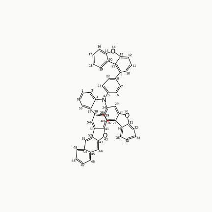 c1ccc(N(c2ccc(-c3cccc4oc5ccccc5c34)cc2)c2ccc3c(c2)oc2ccccc23)c(-c2ccc3oc4cc5ccccc5cc4c3c2)c1